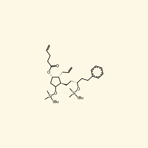 C=CCCC(=O)O[C@H]1CC(O[Si](C)(C)C(C)(C)C)[C@H](CC[C@H](CCc2ccccc2)O[Si](C)(C)C(C)(C)C)[C@H]1CC=C